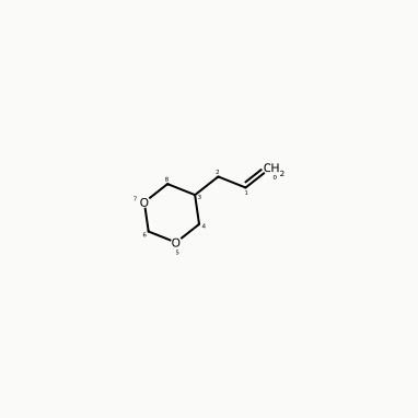 C=CCC1COCOC1